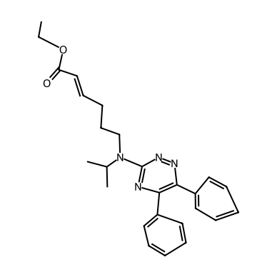 CCOC(=O)C=CCCCN(c1nnc(-c2ccccc2)c(-c2ccccc2)n1)C(C)C